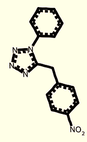 O=[N+]([O-])c1ccc(Cc2nnnn2-c2ccccc2)cc1